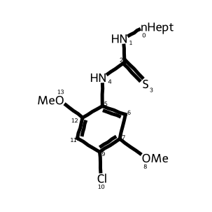 CCCCCCCNC(=S)Nc1cc(OC)c(Cl)cc1OC